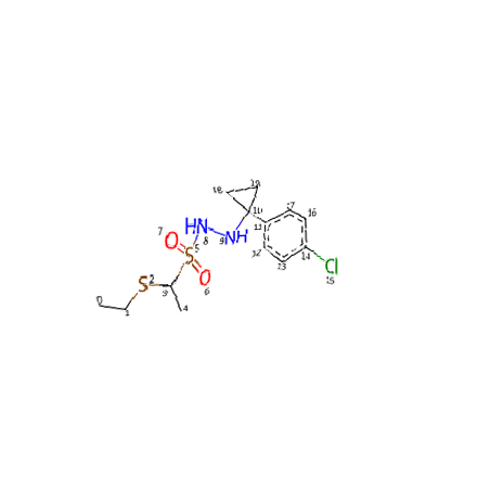 CCSC(C)S(=O)(=O)NNC1(c2ccc(Cl)cc2)CC1